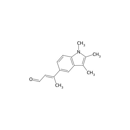 C/C(=C\C=O)c1ccc2c(c1)c(C)c(C)n2C